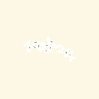 CC(C)c1noc(N2CCC(n3cc(F)c4c(Oc5ccc(C(=O)N(C)C)cc5F)ncnc43)CC2)n1